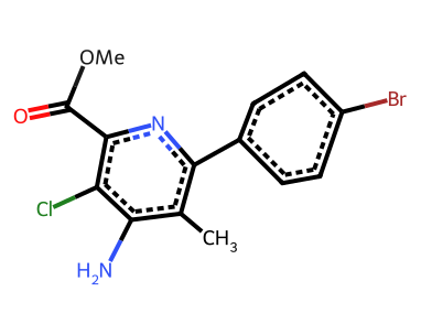 COC(=O)c1nc(-c2ccc(Br)cc2)c(C)c(N)c1Cl